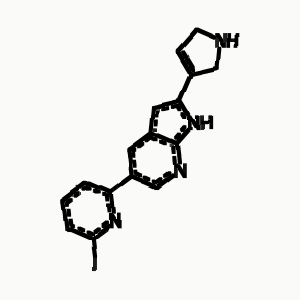 Ic1cccc(-c2cnc3[nH]c(C4=CCNC4)cc3c2)n1